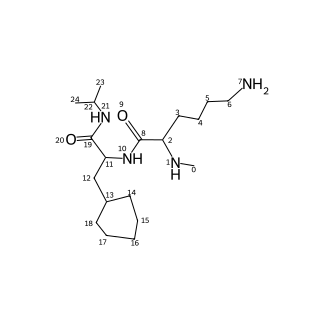 CNC(CCCCN)C(=O)NC(CC1CCCCC1)C(=O)NC(C)C